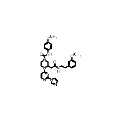 COc1ccc(NC(=O)N2CCN(c3ccnc(-n4ccnc4)n3)C(CC(=O)NCCc3cccc(OC)c3)C2)cc1